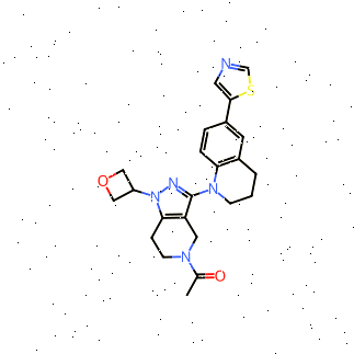 CC(=O)N1CCc2c(c(N3CCCc4cc(-c5cncs5)ccc43)nn2C2COC2)C1